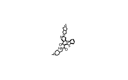 CN1CCC(CNC(=O)c2c(=O)c3cnc(N4CC5CN(C)CC5C4)cc3n3c2sc2ccccc23)CC1